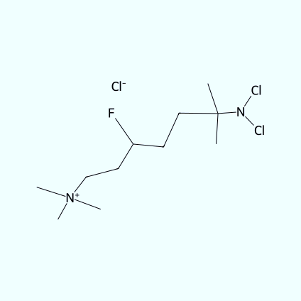 CC(C)(CCC(F)CC[N+](C)(C)C)N(Cl)Cl.[Cl-]